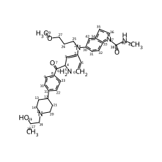 C=C/C(=C\C(N)C(=O)c1ccc(C2CCN(C[C@H](C)O)CC2)cc1)N(CCCOC)c1ccc2c(ccn2C(=O)NC)c1